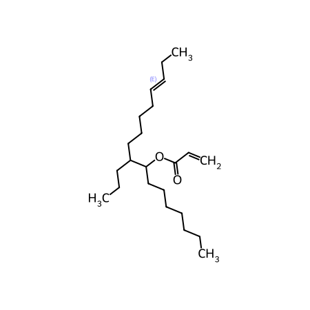 C=CC(=O)OC(CCCCCCC)C(CCC)CCCC/C=C/CC